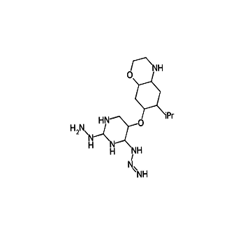 CC(C)C1CC2NCCOC2CC1OC1CNC(NN)NC1NN=N